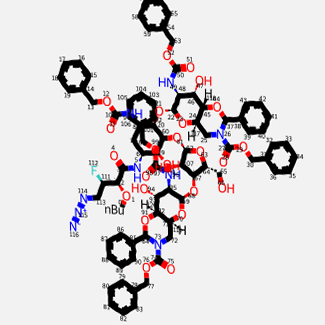 CCCCO[C@H](C(=O)N[C@@H]1C[C@H](NC(=O)OCc2ccccc2)[C@@H](O[C@H]2O[C@@H]3CN(C(=O)OCc4ccccc4)C(c4ccccc4)O[C@H]3[C@@H](O)[C@H]2NC(=O)OCc2ccccc2)C(O[C@@H]2O[C@H](CO)[C@@H](O[C@H]3O[C@H]4CN(C(=O)OCc5ccccc5)C(c5ccccc5)O[C@H]4[C@H](O)[C@H]3NC(=O)OCc3ccccc3)[C@H]2O)[C@H]1O)[C@H](F)CN=[N+]=[N-]